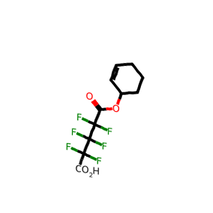 O=C(O)C(F)(F)C(F)(F)C(F)(F)C(=O)OC1C=CCCC1